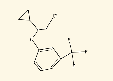 FC(F)(F)c1cccc(OC(CCl)C2CC2)c1